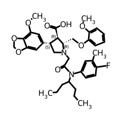 CCCC(CCC)N(C(=O)CN1C[C@H](c2cc(OC)c3c(c2)OCO3)[C@@H](C(=O)O)[C@@H]1COc1ccccc1OC)c1ccc(F)c(C)c1